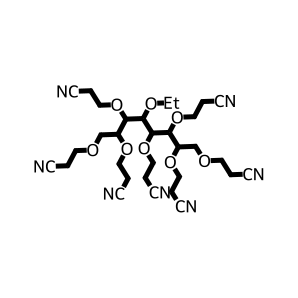 CCOC(C(OCCC#N)C(COCCC#N)OCCC#N)C(OCCC#N)C(OCCC#N)C(COCCC#N)OCCC#N